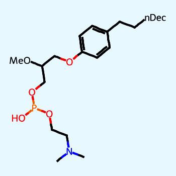 CCCCCCCCCCCCc1ccc(OCC(COP(O)OCCN(C)C)OC)cc1